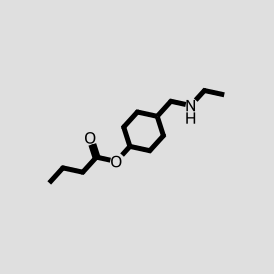 CCCC(=O)OC1CCC(CNCC)CC1